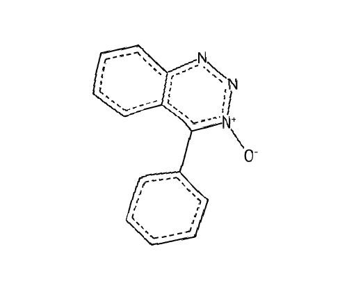 [O-][n+]1nnc2ccccc2c1-c1ccccc1